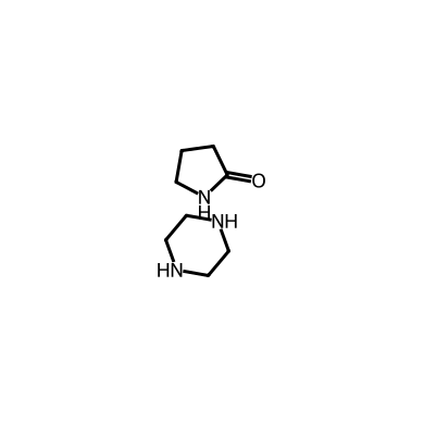 C1CNCCN1.O=C1CCCN1